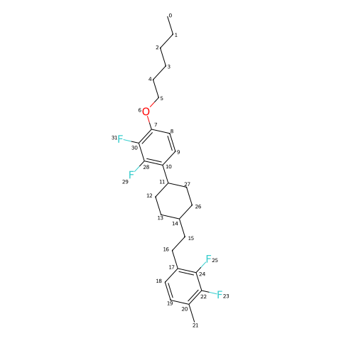 CCCCCCOc1ccc(C2CCC(CCc3ccc(C)c(F)c3F)CC2)c(F)c1F